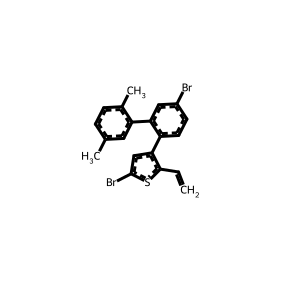 C=Cc1sc(Br)cc1-c1ccc(Br)cc1-c1cc(C)ccc1C